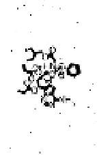 CCC(=O)O[C@@H](c1ccc2c(N)ncnn12)[C@H](OC(=O)CC)[C@@](CF)(CO[P@@](=O)(N[C@@H](C)C(=O)OCC(CC)CC)Oc1ccccc1)OC